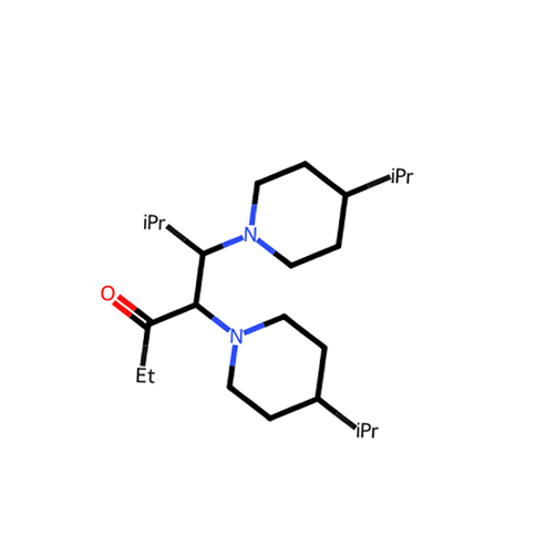 CCC(=O)C(C(C(C)C)N1CCC(C(C)C)CC1)N1CCC(C(C)C)CC1